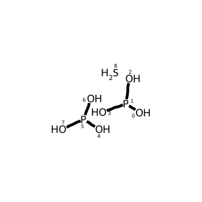 OP(O)O.OP(O)O.S